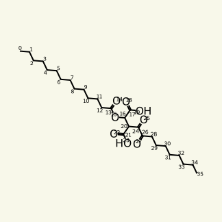 CCCCCCCCCCCCCC(=O)OC(C(=O)O)C(C(=O)O)C(=O)C(=O)CCCCCCCC